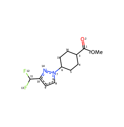 COC(=O)C1CCC(n2ccc(C(F)F)n2)CC1